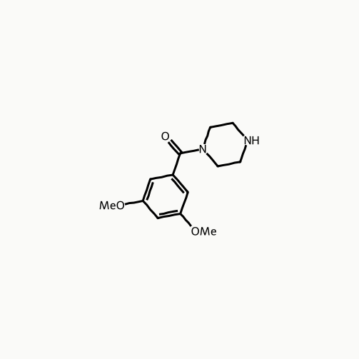 COc1cc(OC)cc(C(=O)N2CCNCC2)c1